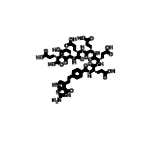 Nc1nc2[nH]cc(CCc3ccc(C(=O)N[C@@H](CCC(=O)O)C(=O)N[C@@H](CCC(=O)O)C(=O)N[C@@H](CCC(=O)O)C(=O)N[C@@H](CCC(=O)O)C(=O)N[C@@H](CCC(=O)O)C(=O)N[C@@H](CCC(=O)O)C(=O)O)cc3)c2c(=O)[nH]1